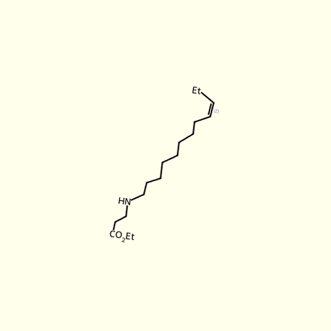 CC/C=C\CCCCCCCCNCCC(=O)OCC